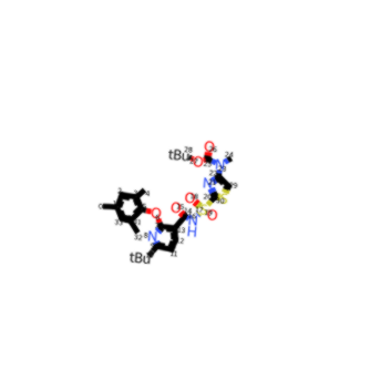 Cc1cc(C)c(Oc2nc(C(C)(C)C)ccc2C(=O)NS(=O)(=O)c2nc(N(C)C(=O)OC(C)(C)C)cs2)c(C)c1